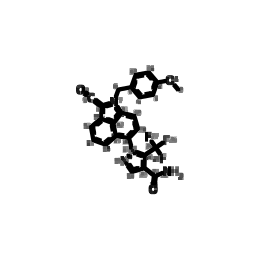 COc1ccc(Cn2c(=C=O)c3cccc4c(-n5ncc(C(N)=O)c5C(F)(F)F)ccc2c43)cc1